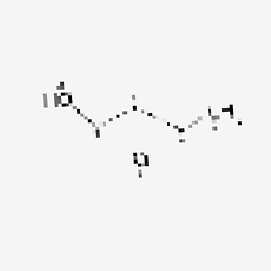 CCCCO.[Cr]